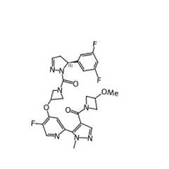 COC1CN(C(=O)c2cnn(C)c2-c2cc(OC3CN(C(=O)N4N=CC[C@H]4c4cc(F)cc(F)c4)C3)c(F)cn2)C1